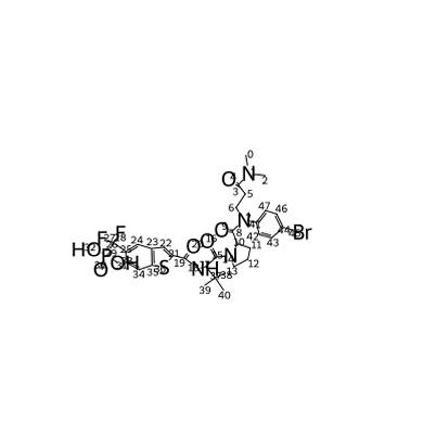 CN(C)C(=O)CCN(C(=O)C1CCCN1C(=O)C(NC(=O)c1cc2cc(C(F)(F)P(=O)(O)O)ccc2s1)C(C)(C)C)c1ccc(Br)cc1